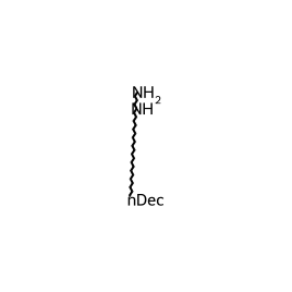 CCCCCCCCCCCCCCCCCCCCCCCCCCCCCCCNCCCN